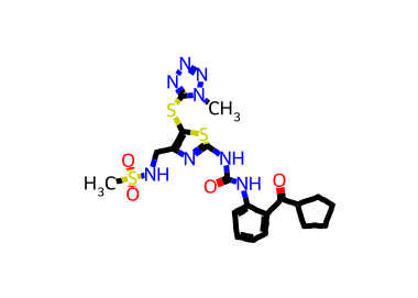 Cn1nnnc1Sc1sc(NC(=O)Nc2ccccc2C(=O)C2CCCC2)nc1CNS(C)(=O)=O